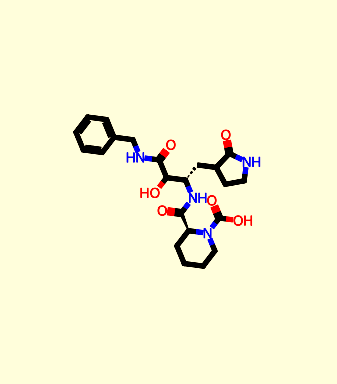 O=C1NCCC1C[C@H](NC(=O)[C@@H]1CCCCN1C(=O)O)C(O)C(=O)NCc1ccccc1